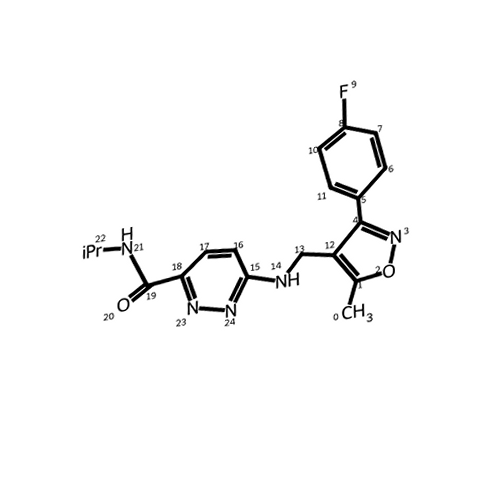 Cc1onc(-c2ccc(F)cc2)c1CNc1ccc(C(=O)NC(C)C)nn1